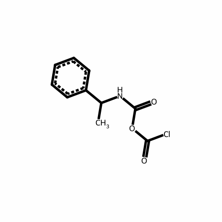 CC(NC(=O)OC(=O)Cl)c1ccccc1